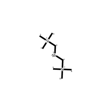 C[Si](C)(C)[CH2][Sb][CH2][Si](C)(C)C